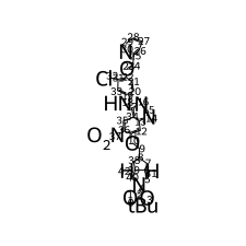 CC(C)(C)OC(=O)N1C[C@H]2CC(COc3cc4ncnc(Nc5ccc(OCc6ccccn6)c(Cl)c5)c4cc3[N+](=O)[O-])C[C@@H]2C1